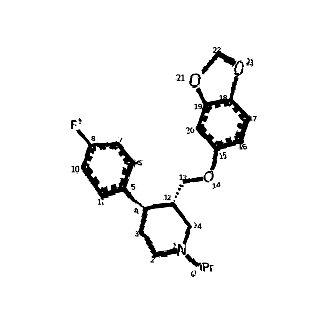 CC(C)N1CC[C@@H](c2ccc(F)cc2)[C@H](COc2ccc3c(c2)OCO3)C1